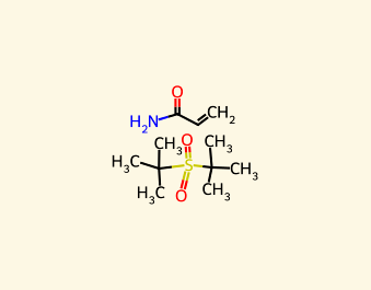 C=CC(N)=O.CC(C)(C)S(=O)(=O)C(C)(C)C